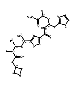 COC(=O)[C@@H](C)C[C@H](Cc1nccs1)NC(=O)c1csc([C@@H](C[C@H](C(C)C)N(C)C(=O)CC2COC2)OC(C)=O)n1